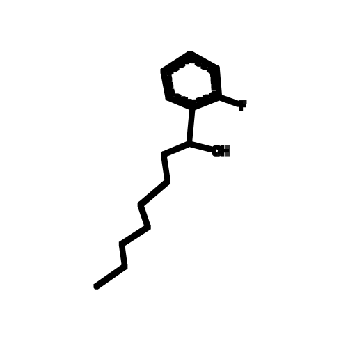 CCCCCCCC(O)c1ccccc1F